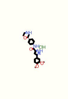 COc1ccc(-c2cc(C(=O)Nc3ccc([C@H]4CNCCO4)cc3)[nH]n2)cc1OC.Cl